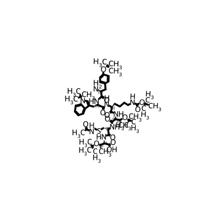 CC(=O)NCSC[C@H](NC(=O)[C@@H](NC(=O)[C@H](CCCCNC(=O)OC(C)(C)C)NC(=O)[C@@H](Cc1cn(C(C)(C)C)c2ccccc12)NC(=O)[C@@H](N)Cc1ccc(OC(C)(C)C)cc1)[C@@H](C)OC(C)(C)C)C(=O)N[C@H](C(=O)O)[C@@H](C)OC(C)(C)C